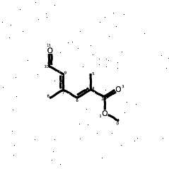 COC(=O)C(C)=CC(C)=CC=O